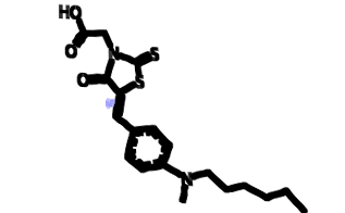 CCCCCCN(C)c1ccc(/C=C2\SC(=S)N(CC(=O)O)C2=O)cc1